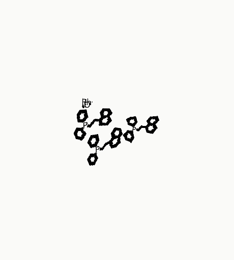 C=O.[Rh].c1ccc(P(CCc2cccc3ccccc23)c2ccccc2)cc1.c1ccc(P(CCc2cccc3ccccc23)c2ccccc2)cc1.c1ccc(P(CCc2cccc3ccccc23)c2ccccc2)cc1